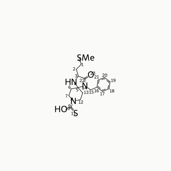 CSCCC1NC2(CCN(C(O)=S)CC2)N(Cc2ccccc2)C1=O